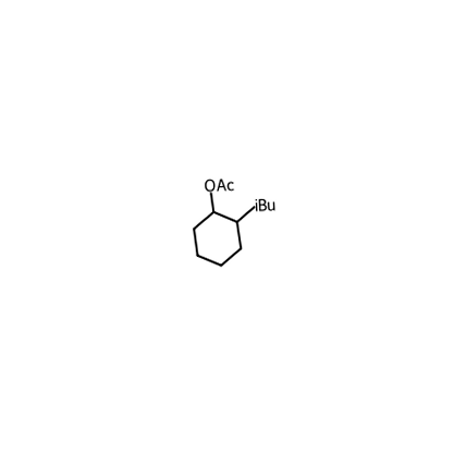 CCC(C)C1CCCCC1OC(C)=O